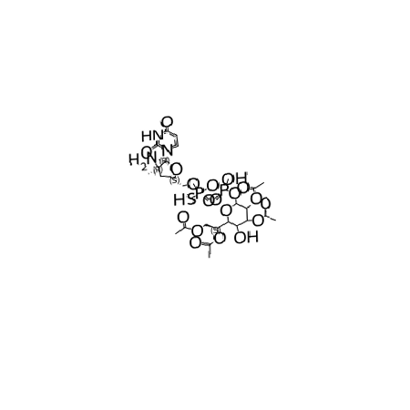 CC(=O)OC[C@H](OC(C)=O)C1OC(OP(=O)(O)OP(=O)(S)OC[C@@H]2C[C@@](C)(N)[C@H](n3ccc(=O)[nH]c3=O)O2)C(OC(C)=O)C(OC(C)=O)C1O